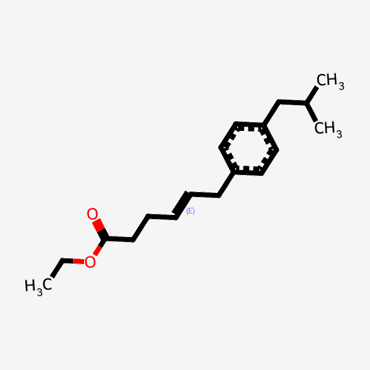 CCOC(=O)CC/C=C/Cc1ccc(CC(C)C)cc1